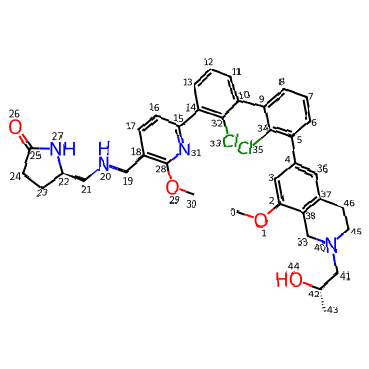 COc1cc(-c2cccc(-c3cccc(-c4ccc(CNC[C@H]5CCC(=O)N5)c(OC)n4)c3Cl)c2Cl)cc2c1CN(C[C@H](C)O)CC2